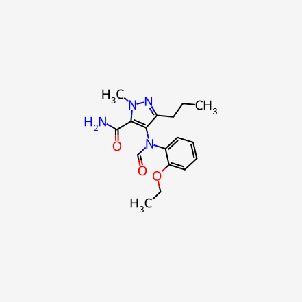 CCCc1nn(C)c(C(N)=O)c1N(C=O)c1ccccc1OCC